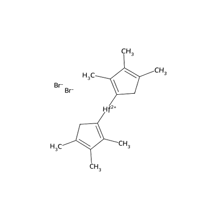 CC1=C(C)C(C)=[C]([Hf+2][C]2=C(C)C(C)=C(C)C2)C1.[Br-].[Br-]